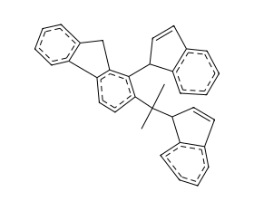 CC(C)(c1ccc2c(c1C1C=Cc3ccccc31)Cc1ccccc1-2)C1C=Cc2ccccc21